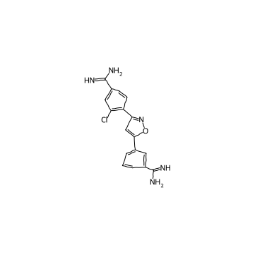 N=C(N)c1cccc(-c2cc(-c3ccc(C(=N)N)cc3Cl)no2)c1